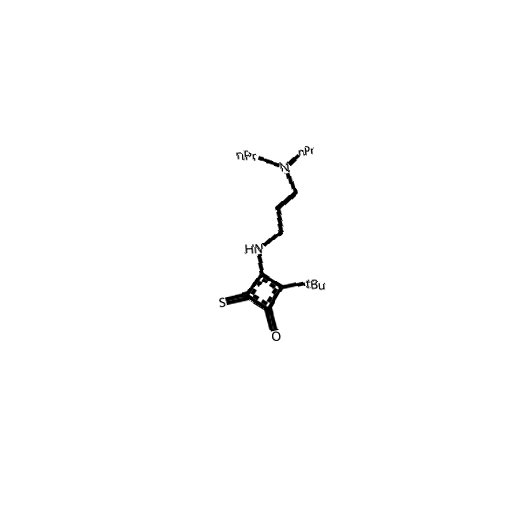 CCCN(CCC)CCCNc1c(C(C)(C)C)c(=O)c1=S